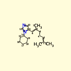 CC(C)=CCC/C(C)=C/c1cncn1C1CCCCC1